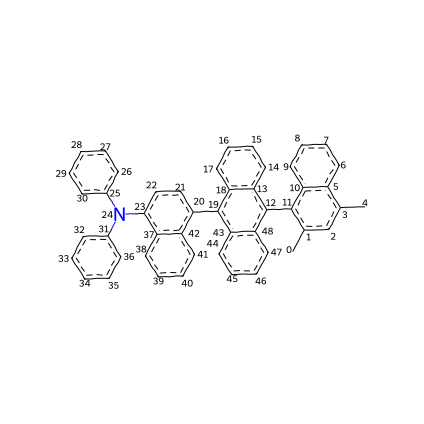 Cc1cc(C)c2ccccc2c1-c1c2ccccc2c(-c2ccc(N(c3ccccc3)c3ccccc3)c3ccccc23)c2ccccc12